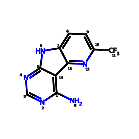 Nc1ncnc2[nH]c3ccc(C(F)(F)F)nc3c12